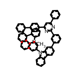 CN(c1ccccc1)c1ccccc1-c1ccccc1-c1ccc(-n2c3ccccc3c3ccc(-c4cccc(-c5nc(-c6ccccc6)cc(-c6ccc(-c7ccccc7)cc6)n5)c4)cc32)cc1